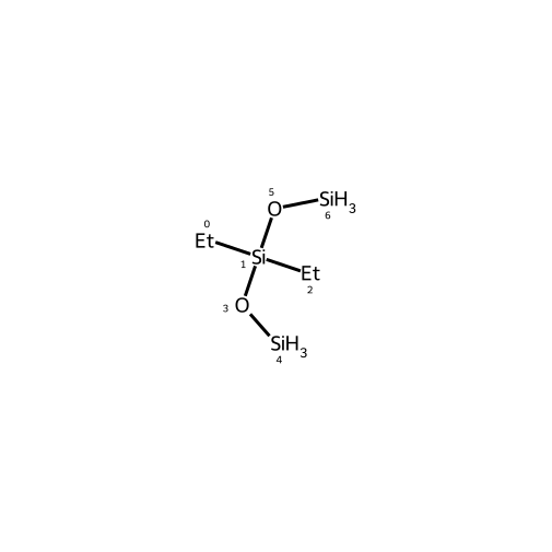 CC[Si](CC)(O[SiH3])O[SiH3]